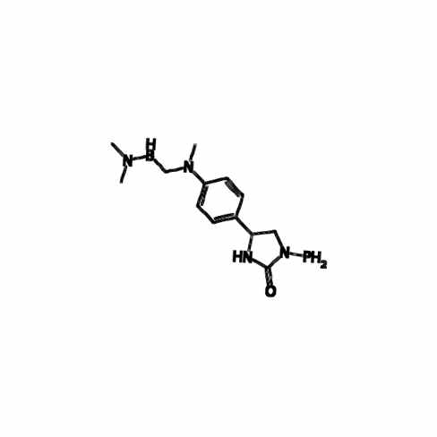 CN(C)BCN(C)c1ccc(C2CN(P)C(=O)N2)cc1